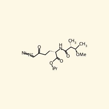 CO[C@H](C)[C@@H](C)C(=O)N[C@@H](CCC(=O)C=[N+]=[N-])C(=O)OC(C)C